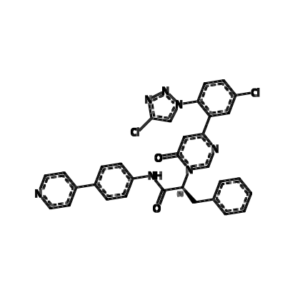 O=C(Nc1ccc(-c2ccncc2)cc1)[C@H](Cc1ccccc1)n1cnc(-c2cc(Cl)ccc2-n2cc(Cl)nn2)cc1=O